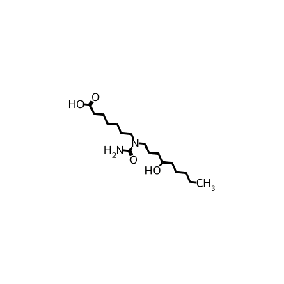 CCCCCC(O)CCCN(CCCCCCC(=O)O)C(N)=O